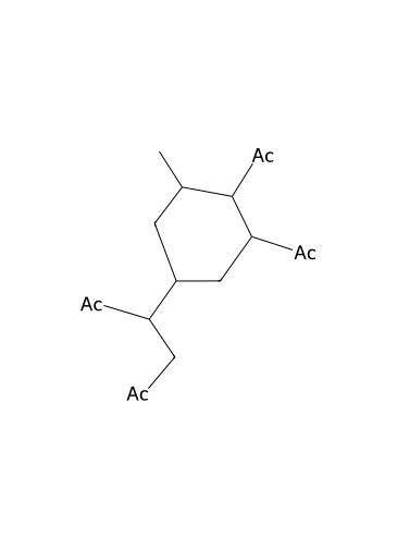 CC(=O)CC(C(C)=O)C1CC(C)C(C(C)=O)C(C(C)=O)C1